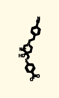 N#Cc1ccc(CCN2CCC(O)(CSc3ccc(C(=O)[O-])cc3)CC2)cc1.[Na+]